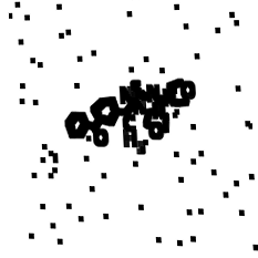 CC(c1cccc(C(=O)c2ccccc2)c1)c1nsc(N=C(N2CCOCC2)N2CCOCC2)n1